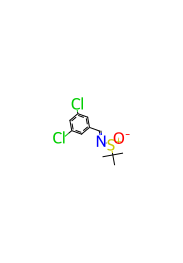 CC(C)(C)[S+]([O-])/N=C/c1cc(Cl)cc(Cl)c1